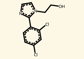 OCCn1ccnc1-c1ccc(Cl)cc1Cl